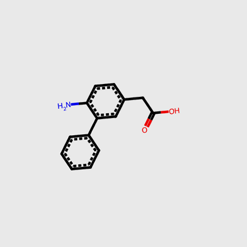 Nc1ccc(CC(=O)O)cc1-c1ccccc1